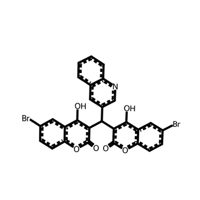 O=c1oc2ccc(Br)cc2c(O)c1C(c1cnc2ccccc2c1)c1c(O)c2cc(Br)ccc2oc1=O